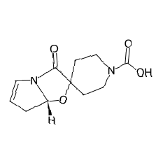 O=C(O)N1CCC2(CC1)O[C@@H]1CC=CN1C2=O